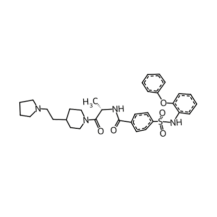 C[C@H](NC(=O)c1ccc(S(=O)(=O)Nc2ccccc2Oc2ccccc2)cc1)C(=O)N1CCC(CCN2CCCC2)CC1